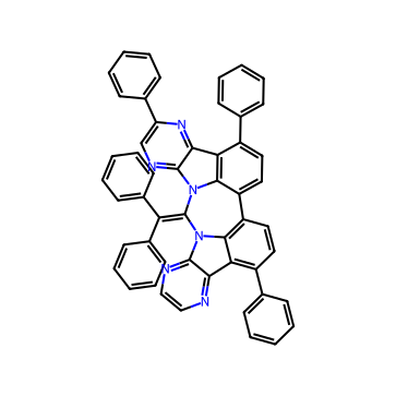 c1ccc(C(c2ccccc2)=c2n3c4nccnc4c4c(-c5ccccc5)ccc(c5ccc(-c6ccccc6)c6c7nc(-c8ccccc8)cnc7n2c56)c43)cc1